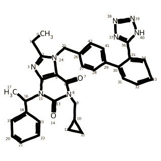 CCc1nc2c(c(=O)n(CC3CC3)c(=O)n2C(C)c2ccccc2)n1Cc1ccc(-c2ccccc2-c2nnn[nH]2)cc1